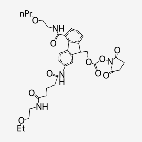 CCCOCCNC(=O)c1cccc2c1-c1ccc(NC(=O)CCCC(=O)NCCOCC)cc1C2COC(=O)ON1C(=O)CCC1=O